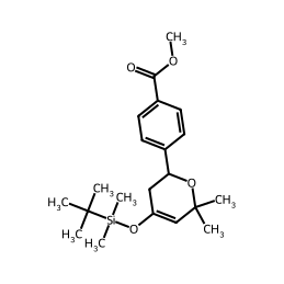 COC(=O)c1ccc(C2CC(O[Si](C)(C)C(C)(C)C)=CC(C)(C)O2)cc1